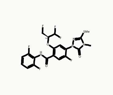 CSc1nn(-c2cc(O[C@@H](CF)C(F)F)c(C(=O)Nc3c(F)cccc3F)cc2F)c(=O)n1C